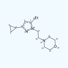 CCc1cc(C2CC2)nn1CCN1CCOCC1